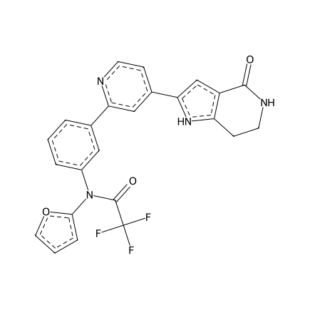 O=C1NCCc2[nH]c(-c3ccnc(-c4cccc(N(C(=O)C(F)(F)F)c5ccco5)c4)c3)cc21